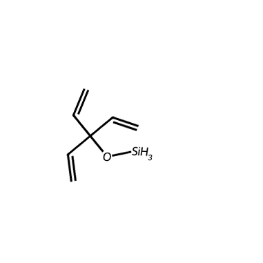 C=CC(C=C)(C=C)O[SiH3]